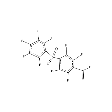 C=C(F)c1c(F)c(F)c(S(=O)(=O)c2c(F)c(F)c(F)c(F)c2F)c(F)c1F